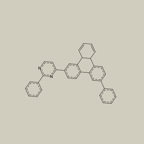 C1=CC2c3ccc(-c4ccccc4)cc3-c3ccc(-c4ccnc(-c5ccccc5)n4)cc3C2C=C1